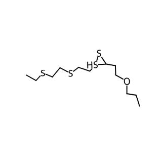 CCCOCCC1S[SH]1CCSCCSCC